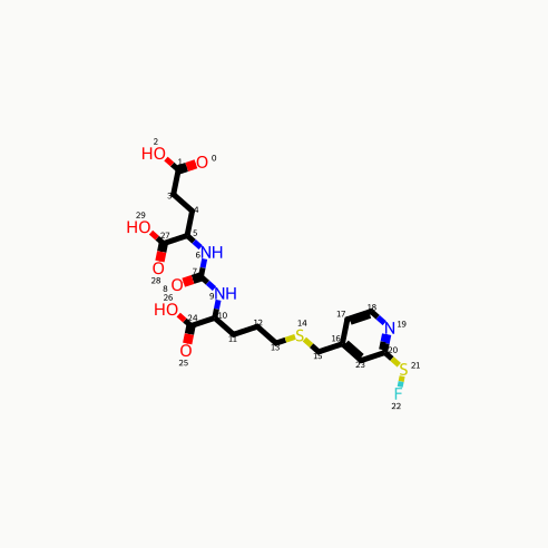 O=C(O)CCC(NC(=O)NC(CCCSCc1ccnc(SF)c1)C(=O)O)C(=O)O